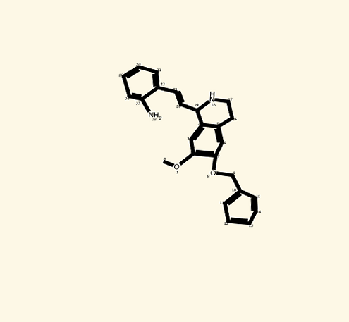 COc1cc2c(cc1OCc1ccccc1)CCNC2C=Cc1ccccc1N